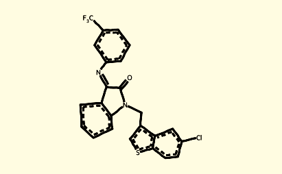 O=C1C(=Nc2cccc(C(F)(F)F)c2)c2ccccc2N1Cc1csc2ccc(Cl)cc12